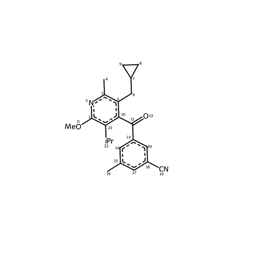 COc1nc(C)c(CC2CC2)c(C(=O)c2cc(C)cc(C#N)c2)c1C(C)C